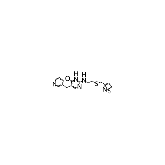 O=c1[nH]c(NCCSCc2ccsn2)ncc1Cc1cccnc1